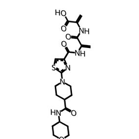 C=C(NC(=O)C(=C)NC(=O)c1csc(N2CCC(C(=O)NC3CCOCC3)CC2)n1)C(=O)O